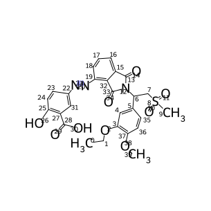 CCOc1cc(C(CS(C)(=O)=O)N2C(=O)c3cccc(/N=N/c4ccc(O)c(C(=O)O)c4)c3C2=O)ccc1OC